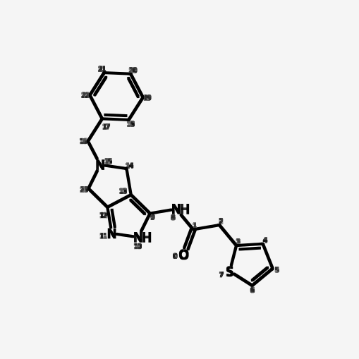 O=C(Cc1cccs1)Nc1[nH]nc2c1CN(Cc1ccccc1)C2